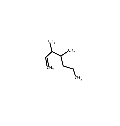 C=CC(C)C(C)CCC